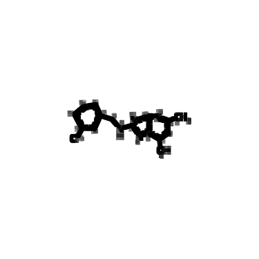 Cc1cc(O)n2nc(NCc3cccc(Cl)c3)nc2n1